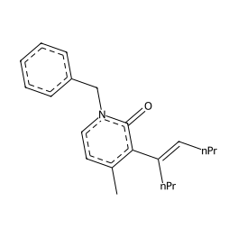 CCCC=C(CCC)c1c(C)ccn(Cc2ccccc2)c1=O